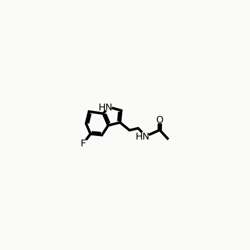 CC(=O)NCCc1c[nH]c2ccc(F)cc12